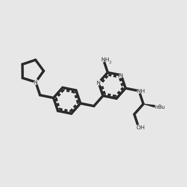 CCCC[C@@H](CO)Nc1cc(Cc2ccc(CN3CCCC3)cc2)nc(N)n1